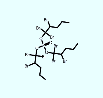 CCCC(Br)C(Br)(Br)OP(=O)(OC(Br)(Br)C(Br)CCC)OC(Br)(Br)C(Br)CCC